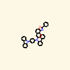 C1=CCCC(c2nc3c(ccc4cc(N(c5ccc(-n6c7ccccc7c7ccccc76)cc5)c5ccccc5-c5ccccc5)ccc43)o2)=C1